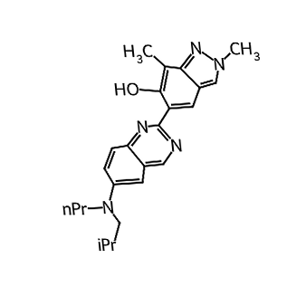 CCCN(CC(C)C)c1ccc2nc(-c3cc4cn(C)nc4c(C)c3O)ncc2c1